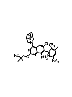 Cc1cc(N)nc(-c2c(Cl)cc3c(N4CC5CCC(C4)N5)nc(OCC(C)(C)C#N)nc3c2P)c1C(F)(F)F